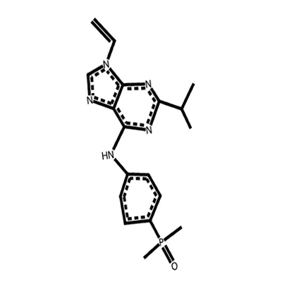 C=Cn1cnc2c(Nc3ccc(P(C)(C)=O)cc3)nc(C(C)C)nc21